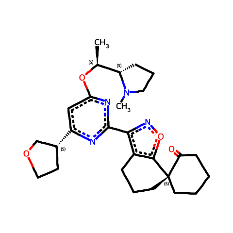 C[C@H](Oc1cc([C@@H]2CCOC2)nc(-c2noc3c2CCC[C@@]32CCCCC2=O)n1)[C@@H]1CCCN1C